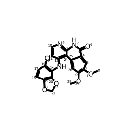 COc1cc2c(=O)[nH]c3nccc(Nc4c(Cl)ccc5c4OCO5)c3c2cc1OC